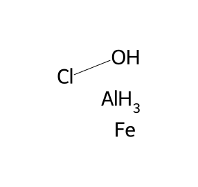 OCl.[AlH3].[Fe]